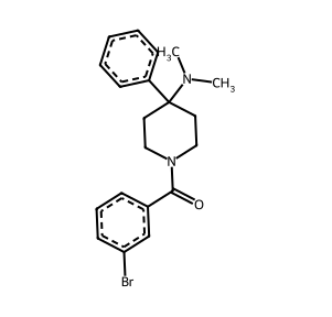 CN(C)C1(c2ccccc2)CCN(C(=O)c2cccc(Br)c2)CC1